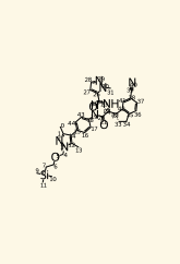 Cc1nn(COCC[Si](C)(C)C)c(C)c1-c1ccc(NC(=O)[C@@H](NC(=O)c2ccnn2C)[C@H]2CCc3ccc(C#N)cc32)cc1